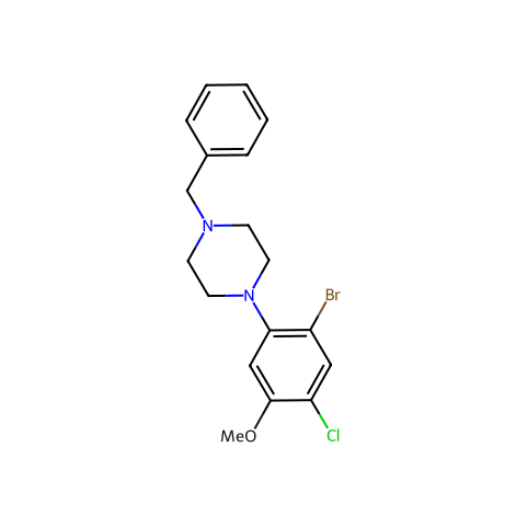 COc1cc(N2CCN(Cc3ccccc3)CC2)c(Br)cc1Cl